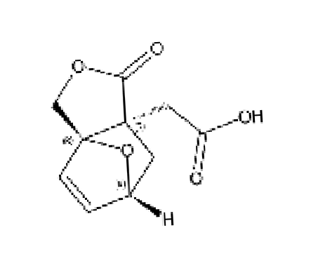 O=C(O)C[C@]12C[C@@H]3C=C[C@@]1(COC2=O)O3